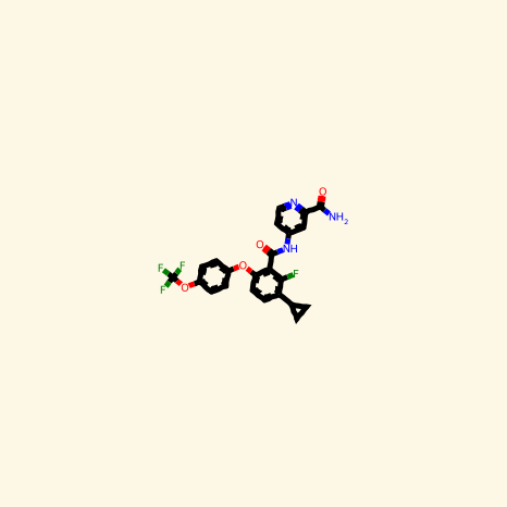 NC(=O)c1cc(NC(=O)c2c(Oc3ccc(OC(F)(F)F)cc3)ccc(C3CC3)c2F)ccn1